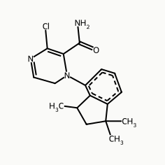 CC1CC(C)(C)c2cccc(N3CC=NC(Cl)=C3C(N)=O)c21